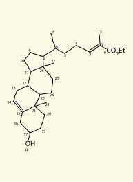 CCOC(=O)/C(C)=C/CCC(C)C1CCC2C3CC=C4CC(O)CCC4(C)C3CCC12C